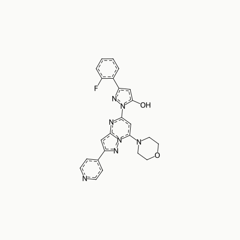 Oc1cc(-c2ccccc2F)nn1-c1cc(N2CCOCC2)n2nc(-c3ccncc3)cc2n1